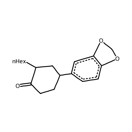 CCCCCCC1CC(c2ccc3c(c2)OCO3)CCC1=O